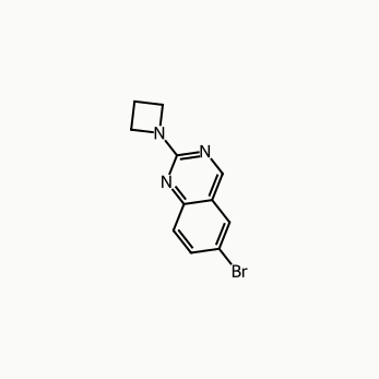 Brc1ccc2nc(N3CCC3)ncc2c1